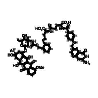 COc1cccc2c1C(=O)c1c(O)c3c(c(O)c1C2=O)C[C@@](O)(C(C)=O)CC3OC1CC(C)(NC(=O)OCc2ccccc2SSCC(NC(=O)CCC(NC(=O)c2ccc(NCc3cnc4nc(N)[nH]c(=O)c4n3)cc2)C(=O)O)C(=O)O)C(O)C(C)O1